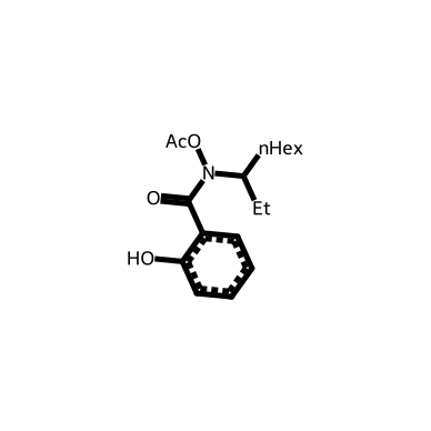 CCCCCCC(CC)N(OC(C)=O)C(=O)c1ccccc1O